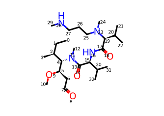 CC[C@H](C)[C@@H]([C@@H](C[C]=O)OC)N(C)C(=O)[C@@H](NC(=O)[C@H](C(C)C)N(C)CCCNC)C(C)C